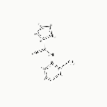 Cc1cccnc1NC(=O)c1cscn1